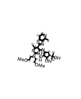 COCCN(CCOC)c1nc(C)c(-c2nc3c(C)nccc3s2)c(N[C@@H]2C[C@H](C(C)(C)O)[C@@H](O)[C@H]2O)n1